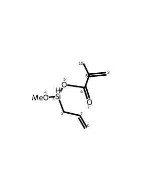 C=CC[SiH](OC)OC(=O)C(=C)C